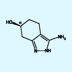 Nc1[nH]nc2c1CC[C@H](O)C2